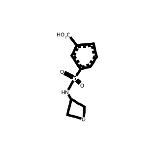 O=C(O)c1cccc(S(=O)(=O)NC2COC2)c1